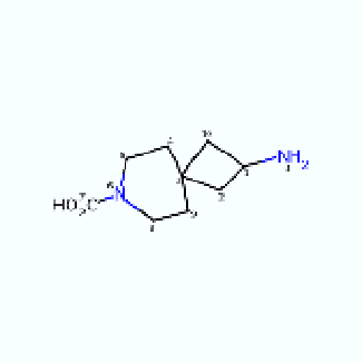 NC1CC2(CCN(C(=O)O)CC2)C1